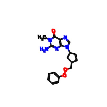 Cn1c(N)nc2c(ncn2C2C=CC(COOc3ccccc3)C2)c1=O